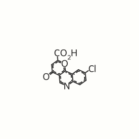 O=C(O)c1cc(=O)c2cnc3ccc(Cl)cc3c2o1